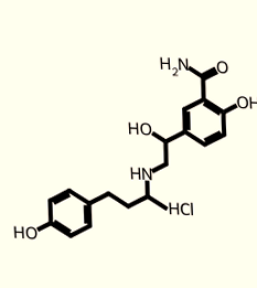 CC(CCc1ccc(O)cc1)NCC(O)c1ccc(O)c(C(N)=O)c1.Cl